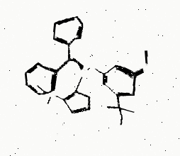 COc1cc([O][Ti]([C]2=C([Si](C)(C)C)C=CC2)=[C](c2ccccc2)c2ccccc2)cc(C(C)(C)C)c1.Cl.Cl